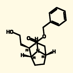 O=C(OCc1ccccc1)N1[C@H]2CC[C@@H]1[C@@H](CCO)NC2